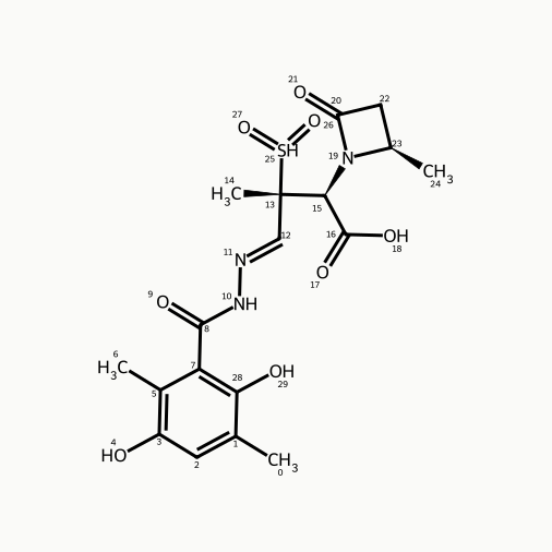 Cc1cc(O)c(C)c(C(=O)N/N=C/[C@@](C)([C@H](C(=O)O)N2C(=O)C[C@H]2C)[SH](=O)=O)c1O